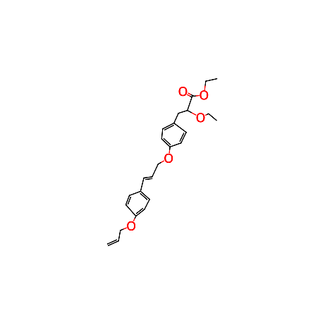 C=CCOc1ccc(C=CCOc2ccc(CC(OCC)C(=O)OCC)cc2)cc1